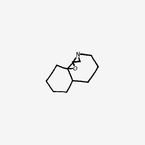 C1CCC23OCCN2CCCC3C1